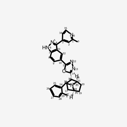 Cc1cc(-c2n[nH]c3ccc(-c4nnc([C@H]5CC[C@@H]6CC[C@H]5N6Cc5ccccc5F)o4)cc23)ccn1